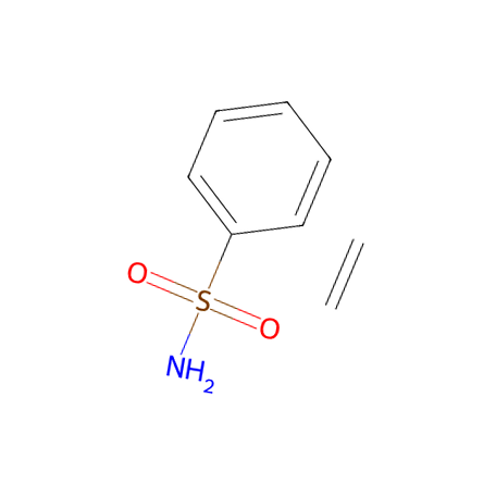 C=C.NS(=O)(=O)c1ccccc1